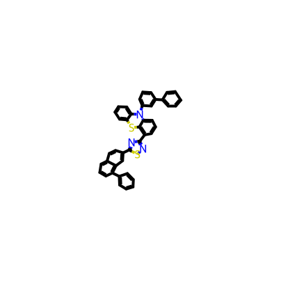 c1ccc(-c2cccc(N3c4ccccc4Sc4c(-c5nsc(-c6ccc7cccc(-c8ccccc8)c7c6)n5)cccc43)c2)cc1